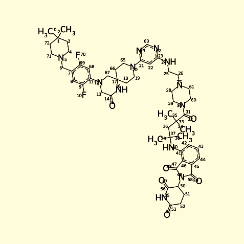 CC1(C)CCN(Cc2cc(F)c(N3CC(=O)NC4(CCN(c5cc(NCCN6CCN(C(=O)C(C)(C)CC(C)(C)Nc7cccc8c7C(=O)N(C7CCC(=O)NC7=O)C8=O)CC6)ncn5)CC4)C3)cc2F)CC1